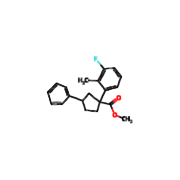 COC(=O)C1(c2cccc(F)c2C)CCC(c2ccccc2)C1